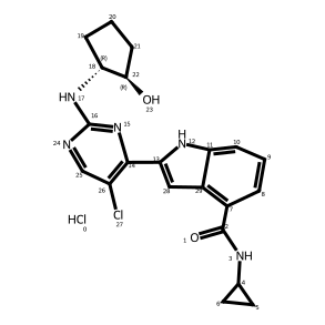 Cl.O=C(NC1CC1)c1cccc2[nH]c(-c3nc(N[C@@H]4CCC[C@H]4O)ncc3Cl)cc12